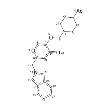 CC(=O)C1CCC(COc2coc(Cn3cc4ccccc4c3)cc2=O)CC1